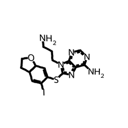 NCCCn1c(SC2=CC3OCCC3C=C2I)nc2c(N)ncnc21